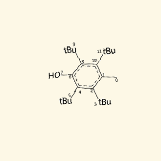 Cc1c(C(C)(C)C)c(C(C)(C)C)c(O)c(C(C)(C)C)c1C(C)(C)C